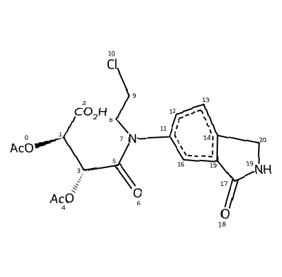 CC(=O)O[C@@H](C(=O)O)[C@@H](OC(C)=O)C(=O)N(CCCl)c1ccc2c(c1)C(=O)NC2